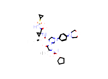 C=C[C@@H]1C[C@]1(NC(=O)[C@@H]1CN(c2ccc(N3CCOCC3)cc2)CN1C(=O)[C@@H](NC(=O)OC1CCCC1)C(C)(C)C)C(=O)NS(=O)(=O)C1CC1